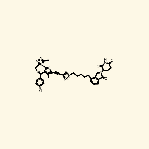 Cc1c(C#Cc2cn(CCCCCc3cccc4c3CN(C3CCC(=O)NC3=O)C4=O)nn2)sc2c1C(c1ccc(Cl)cc1)=NCc1nnc(C)n1-2